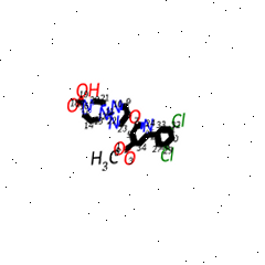 COC(=O)c1cc(Oc2cnc(N3CCCN(C(=O)O)CC3)nc2)nc(-c2cc(Cl)cc(Cl)c2)c1